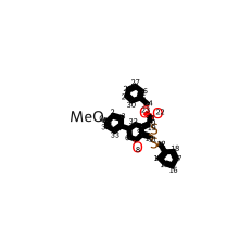 COc1ccc(C2CC(=O)c3c(SCc4ccccc4)sc(C(=O)OCc4ccccc4)c3C2)cc1